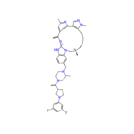 C=C1/N=C2\Nc3ccc(CN4CCN(C(=C)C5CCN(c6cc(F)cc(F)c6)C5)CC4C)cc3N2C[C@H](C)CCCCc2c(cnn2C)-c2cc1cc(C)n2